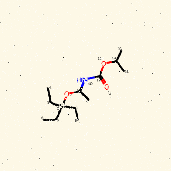 CC[Si](CC)(CC)OC(C)NC(=O)OC(C)C